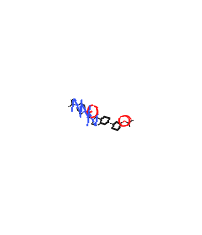 CC(C)Oc1cccc(-c2ccc3c(c2)CCN(CC(=O)N2CCN(C(C)C)CC2)C3)c1